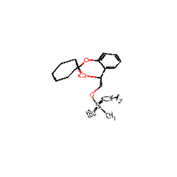 CC(C)(C)[Si](C)(C)OCC1OC2(CCCCC2)Oc2ccccc21